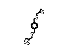 c1cc(CSCC2CSS2)ccc1CSCC1CS1